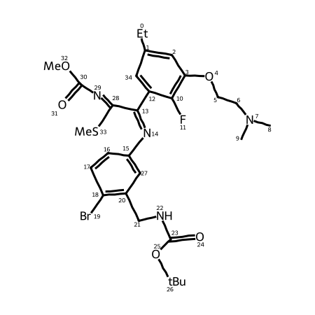 CCc1cc(OCCN(C)C)c(F)c(C(=Nc2ccc(Br)c(CNC(=O)OC(C)(C)C)c2)C(=NC(=O)OC)SC)c1